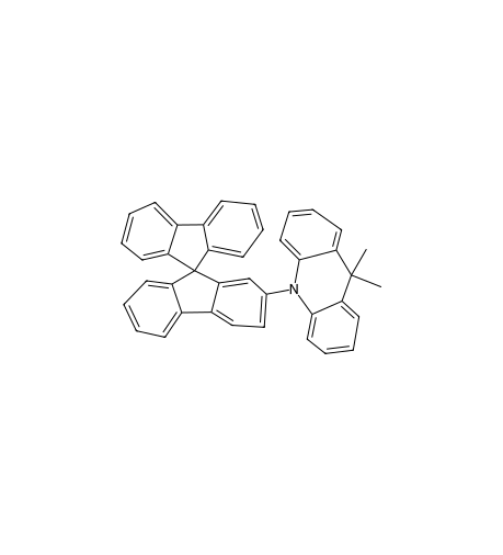 CC1(C)c2ccccc2N(c2ccc3c(c2)C2(c4ccccc4-c4ccccc42)c2ccccc2-3)c2ccccc21